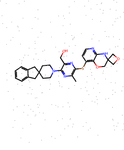 Cc1nc(N2CCC3(CC2)Cc2ccccc2C3)c(CO)nc1Sc1ccnc2c1OCC1(COC1)N2